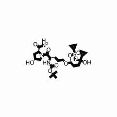 CC(C)(C)OC(=O)N[C@@H](CCCOC/C=C\C(O)(NS(=O)(=O)C1CC1)C1CC1)C(=O)N1C[C@H](O)C[C@H]1C(N)=O